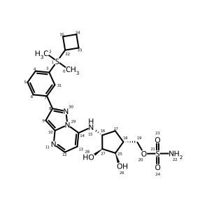 CS(C)(c1cccc(-c2cc3nccc(N[C@@H]4C[C@H](COS(N)(=O)=O)[C@@H](O)[C@H]4O)n3n2)c1)C1CCC1